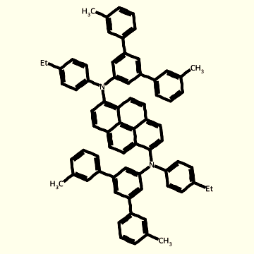 CCc1ccc(N(c2cc(-c3cccc(C)c3)cc(-c3cccc(C)c3)c2)c2ccc3ccc4c(N(c5ccc(CC)cc5)c5cc(-c6cccc(C)c6)cc(-c6cccc(C)c6)c5)ccc5ccc2c3c54)cc1